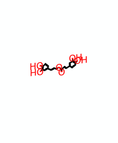 O=C(C=Cc1ccc(O)c(O)c1)OCC=Cc1ccc(O)c(O)c1